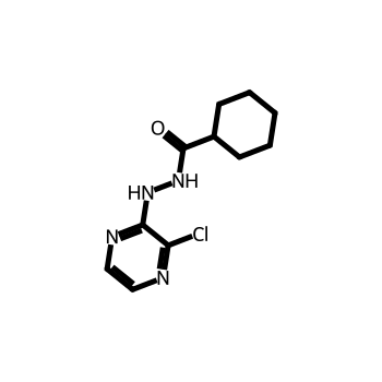 O=C(NNc1nccnc1Cl)C1CCCCC1